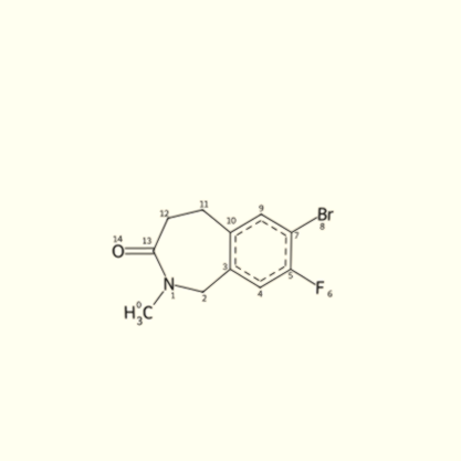 CN1Cc2cc(F)c(Br)cc2CCC1=O